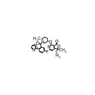 C[C@@H]1CC[C@@H](Oc2nccc3c2C(=O)OC3(C)C)CN1C(=O)c1cc(F)ccc1-n1nccn1